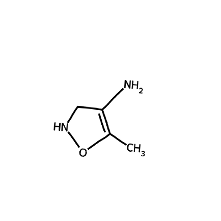 CC1=C(N)CNO1